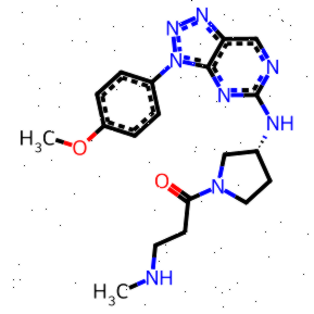 CNCCC(=O)N1CC[C@@H](Nc2ncc3nnn(-c4ccc(OC)cc4)c3n2)C1